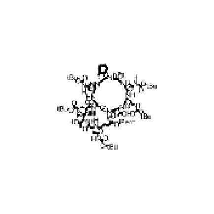 CCCC(C)OC(=O)CCC(=O)N[C@@H](CCNC(=O)OC(C)(C)C)C(=O)N[C@H](C(=O)N[C@@H](CNC(=O)OC(C)(C)C)C(=O)N[C@H]1CCNC(=O)[C@H](C(C)O)NC(=O)[C@H](CCNC(=O)OC(C)(C)C)NC(=O)[C@H](CCNC(=O)OC(C)(C)C)NC(=O)[C@H](CCC)NC(=O)[C@@H](Cc2ccccc2)NC(=O)[C@H](CCNC(=O)OC(C)(C)C)NC1=O)C(C)O